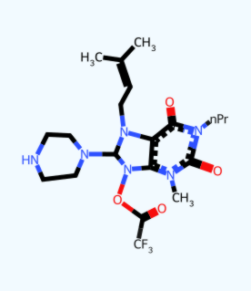 CCCn1c(=O)c2c(n(C)c1=O)N(OC(=O)C(F)(F)F)C(N1CCNCC1)N2CC=C(C)C